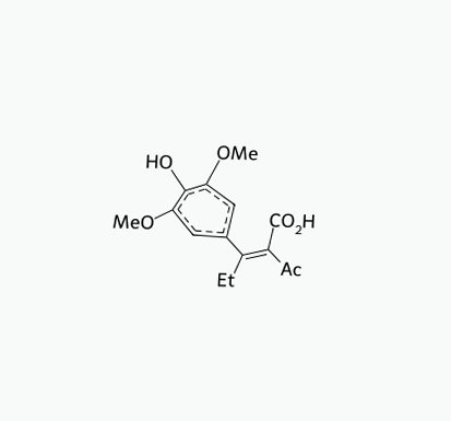 CCC(=C(C(C)=O)C(=O)O)c1cc(OC)c(O)c(OC)c1